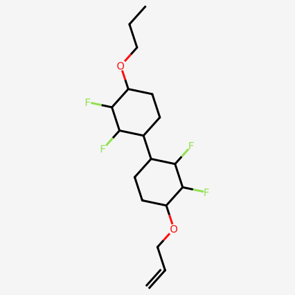 C=CCOC1CCC(C2CCC(OCCC)C(F)C2F)C(F)C1F